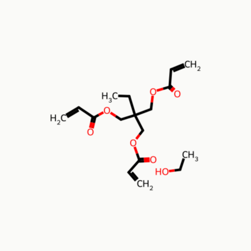 C=CC(=O)OCC(CC)(COC(=O)C=C)COC(=O)C=C.CCO